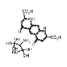 NC(C(O)(O)O)C(O)(O)O.O=C(O)c1cc(=O)c2cc3c(=O)cc(C(=O)O)[nH]c3cc2[nH]1